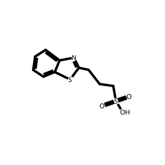 O=S(=O)(O)CCCc1nc2ccccc2s1